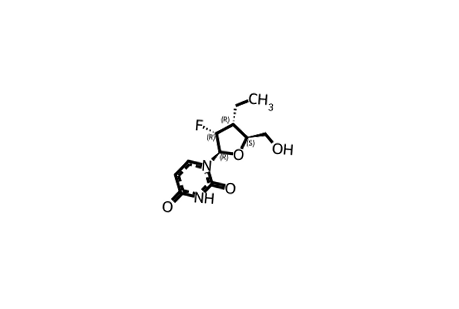 CC[C@H]1[C@@H](F)[C@H](n2ccc(=O)[nH]c2=O)O[C@@H]1CO